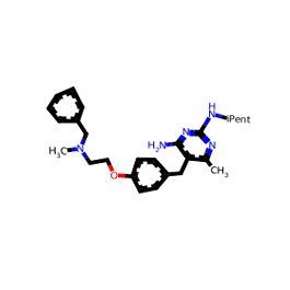 CCCC(C)Nc1nc(C)c(Cc2ccc(OCCN(C)Cc3ccccc3)cc2)c(N)n1